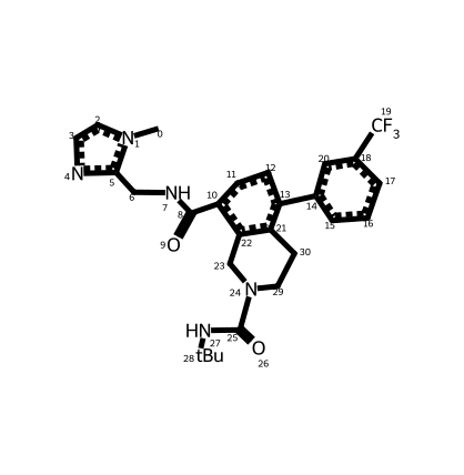 Cn1ccnc1CNC(=O)c1ccc(-c2cccc(C(F)(F)F)c2)c2c1CN(C(=O)NC(C)(C)C)CC2